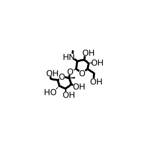 CNC1C(O)[C@H](O)C(CO)O[C@@H]1O[C@@]1(C)OC(CO)[C@@H](O)[C@H](O)C1O